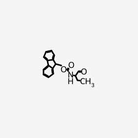 CCC(C=O)NC(=O)OCC1c2ccccc2-c2ccccc21